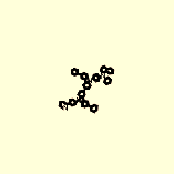 C1=CCC(c2ccc(-n3c4ccc(-c5ccccc5)cc4c4cc(-c5ccc6c(c5)c5cc(-c7ccccc7)ccc5n6-c5ccc(N(c6ccccc6)c6cccc7ccccc67)cc5)ccc43)cc2)N=C1